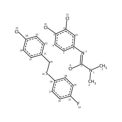 CN(C)C(Cl)=Nc1ccc(Cl)c(Cl)c1.Fc1ccc(SCc2ccc(Cl)cc2)cc1